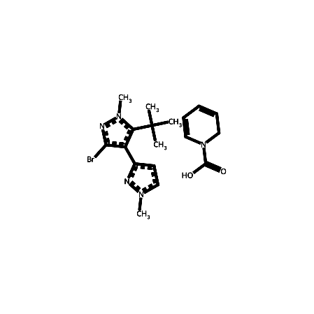 Cn1ccc(-c2c(Br)nn(C)c2C(C)(C)C)n1.O=C(O)N1C=CC=CC1